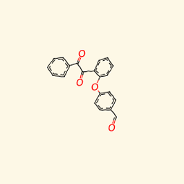 O=Cc1ccc(Oc2ccccc2C(=O)C(=O)c2ccccc2)cc1